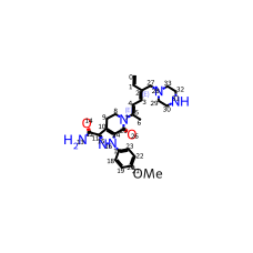 C=C/C(=C\C=C(/C)N1CCc2c(C(N)=O)nn(-c3ccc(OC)cc3)c2C1=O)CN1CCNCC1